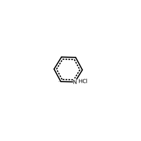 Cl.[c]1ccccn1